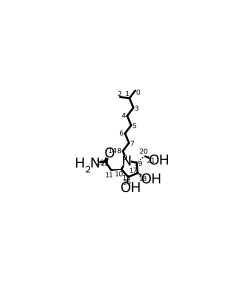 CC(C)CCCCCCN1[C@H](CC(N)=O)[C@H](O)[C@H](O)[C@H]1CO